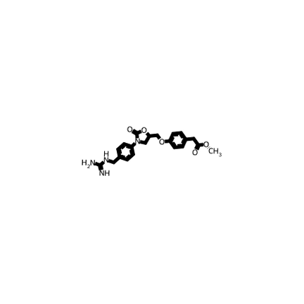 COC(=O)Cc1ccc(OCC2CN(c3ccc(CNC(=N)N)cc3)C(=O)O2)cc1